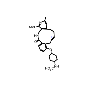 COc1nc(C)cc2c1CNC(=O)c1cccc(O[C@H]3CC[C@H](NC(=O)O)CC3)c1C/C=C/CC2